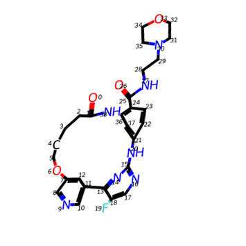 O=C1CCCCOc2cncc(c2)-c2nc(ncc2F)Nc2ccc(C(=O)NCCN3CCOCC3)c(c2)N1